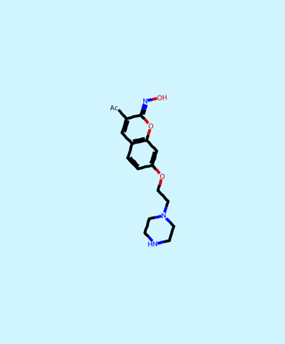 CC(=O)c1cc2ccc(OCCN3CCNCC3)cc2oc1=NO